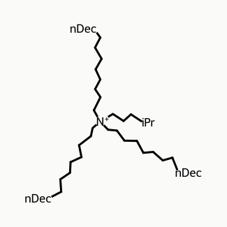 CCCCCCCCCCCCCCCCCC[N+](CCCCCCCCCCCCCCCCCC)(CCCCCCCCCCCCCCCCCC)CCCC(C)C